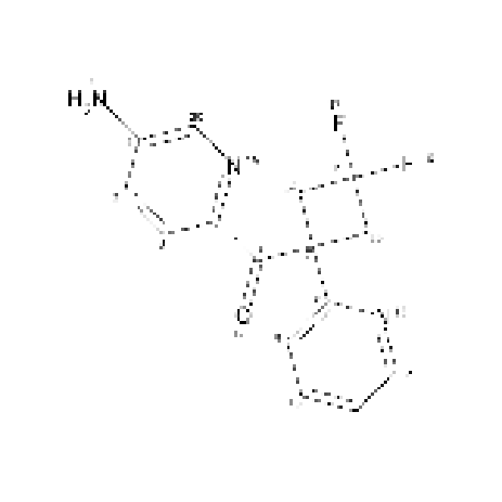 Nc1ccc(C(=O)C2(c3ccccn3)CC(F)(F)C2)nc1